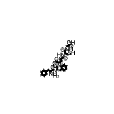 N[C@@H](Cc1ccccc1)C(=O)N[C@@H](Cc1ccccc1)C(=O)NC(CCC(=O)NC(CS)C(=O)NCC(=O)O)C(=O)O